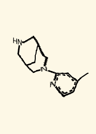 Cc1ccnc(N2CC3CNCC(C3)C2)c1